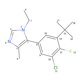 CCn1cnc(C)c1-c1cc(Cl)c(F)c(C(C)(C)C)c1